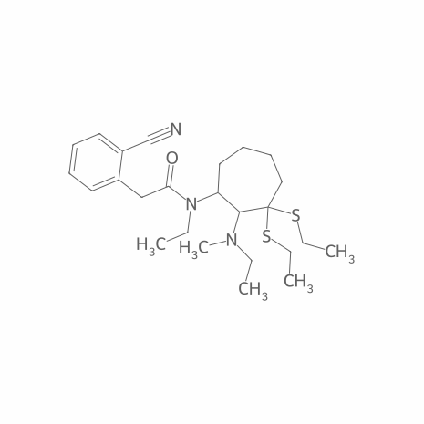 CCSC1(SCC)CCCCC(N(CC)C(=O)Cc2ccccc2C#N)C1N(C)CC